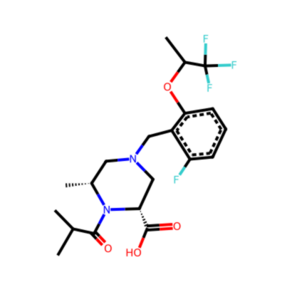 CC(C)C(=O)N1[C@H](C)CN(Cc2c(F)cccc2OC(C)C(F)(F)F)C[C@@H]1C(=O)O